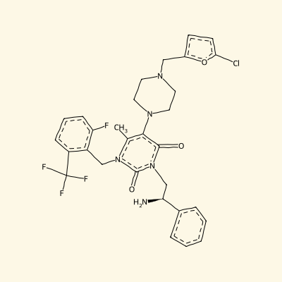 Cc1c(N2CCN(Cc3ccc(Cl)o3)CC2)c(=O)n(C[C@H](N)c2ccccc2)c(=O)n1Cc1c(F)cccc1C(F)(F)F